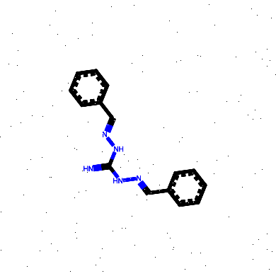 N=C(N/N=C/c1ccccc1)N/N=C/c1ccccc1